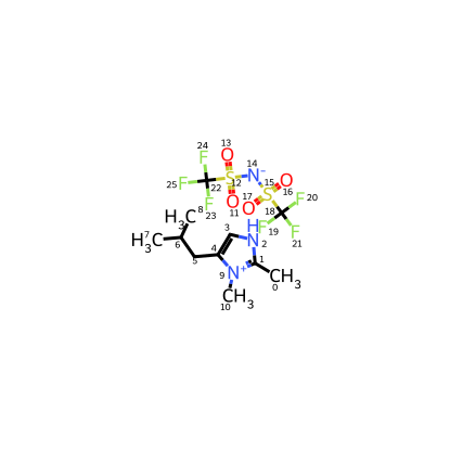 Cc1[nH]cc(CC(C)C)[n+]1C.O=S(=O)([N-]S(=O)(=O)C(F)(F)F)C(F)(F)F